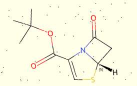 CC(C)(C)OC(=O)C1=CS[C@H]2CC(=O)N12